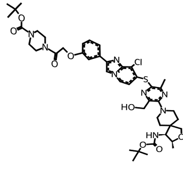 Cc1nc(N2CCC3(CC2)CO[C@@H](C)[C@H]3NC(=O)OC(C)(C)C)c(CO)nc1Sc1ccn2cc(-c3cccc(OCC(=O)N4CCN(C(=O)OC(C)(C)C)CC4)c3)nc2c1Cl